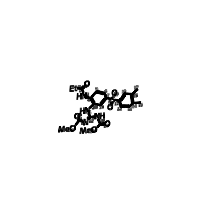 CCC(=O)Nc1ccc(S(=O)(=O)c2ccc(C)c(C)c2)cc1NC(=NC(=O)OC)NC(=O)OC